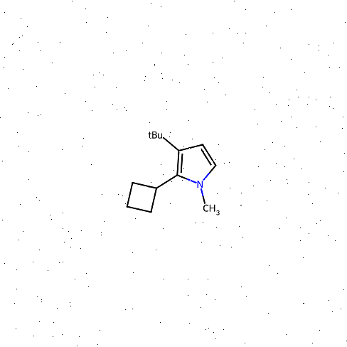 Cn1ccc(C(C)(C)C)c1C1CCC1